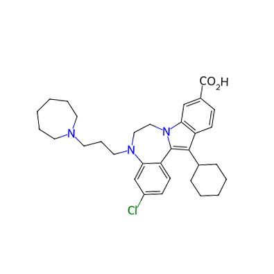 O=C(O)c1ccc2c(C3CCCCC3)c3n(c2c1)CCN(CCCN1CCCCCC1)c1cc(Cl)ccc1-3